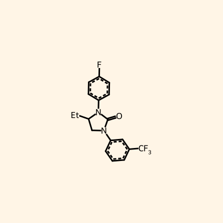 CCC1CN(c2cccc(C(F)(F)F)c2)C(=O)N1c1ccc(F)cc1